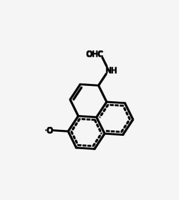 [O]c1ccc2cccc3c2c1C=CC3NC=O